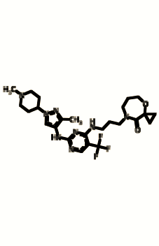 Cc1nn(C2CCN(C)CC2)cc1Nc1ncc(C(F)(F)F)c(NCCCN2CCCOC3(CC3)C2=O)n1